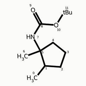 CC1CCCC1(C)NC(=O)OC(C)(C)C